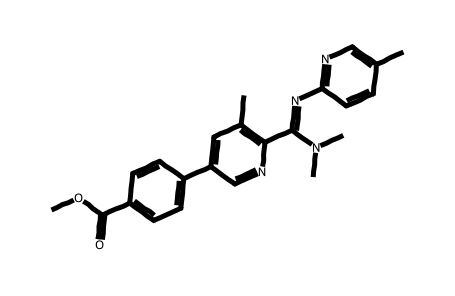 COC(=O)c1ccc(-c2cnc(/C(=N/c3ccc(C)cn3)N(C)C)c(C)c2)cc1